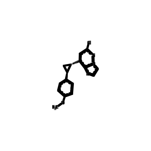 FC(F)(F)Oc1ccc([C@H]2C[C@@H]2c2cc(Cl)nn3ccnc23)cc1